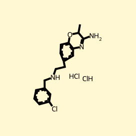 CC1Oc2ccc(CCNCc3cccc(Cl)c3)cc2N=C1N.Cl.Cl